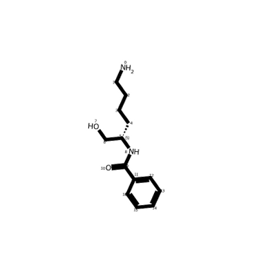 NCCCC[C@@H](CO)NC(=O)c1ccccc1